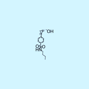 CCCCNS(=O)(=O)c1ccc([C@H]2C[C@@H]2CO)cc1